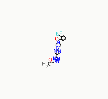 CC(=O)Cn1nnc(-c2cnc(N3CCN(C(=O)c4ccccc4C(F)(F)F)CC3)nc2)n1